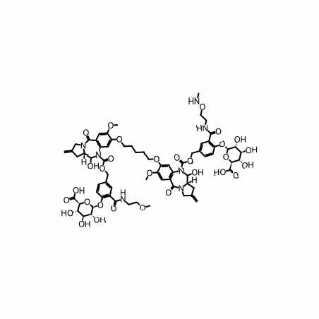 C=C1C[C@H]2C(O)N(C(=O)OCc3ccc(O[C@@H]4O[C@H](C(=O)O)[C@@H](O)[C@H](O)[C@H]4O)c(C(=O)NCCOC)c3)c3cc(OCCCCCOc4cc5c(cc4OC)C(=O)N4CC(=C)C[C@H]4C(O)N5C(=O)OCc4ccc(O[C@@H]5O[C@H](C(=O)O)[C@@H](O)[C@H](O)[C@H]5O)c(C(=O)NCCONC)c4)c(OC)cc3C(=O)N2C1